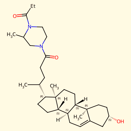 CCC(=O)N1CCN(C(=O)CCC(C)[C@H]2CC[C@H]3[C@@H]4CC=C5C[C@@H](O)CC[C@]5(C)[C@H]4CC[C@]23C)CC1C